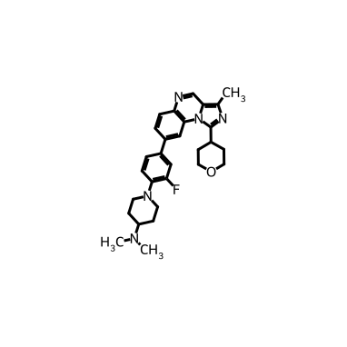 Cc1nc(C2CCOCC2)n2c1cnc1ccc(-c3ccc(N4CCC(N(C)C)CC4)c(F)c3)cc12